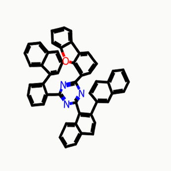 c1ccc(-c2cccc3ccccc23)c(-c2nc(-c3c(-c4ccc5ccccc5c4)ccc4ccccc34)nc(-c3cccc4c3oc3ccccc34)n2)c1